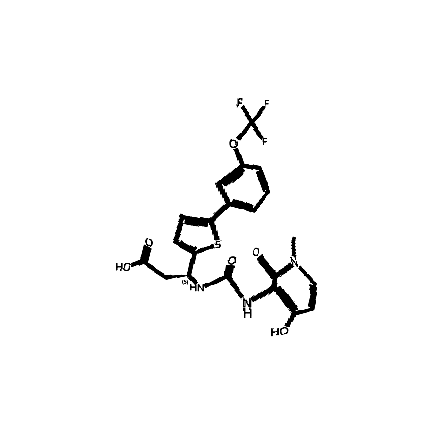 Cn1ccc(O)c(NC(=O)N[C@@H](CC(=O)O)c2ccc(-c3cccc(OC(F)(F)F)c3)s2)c1=O